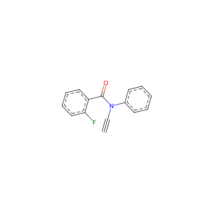 C#CN(C(=O)c1ccccc1F)c1ccccc1